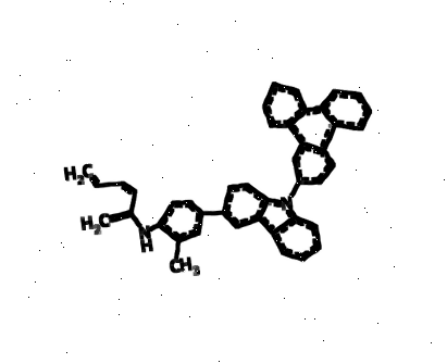 C=C/C=C\C(=C)Nc1ccc(-c2ccc3c(c2)c2ccccc2n3-c2ccc3c4ccccc4c4ccccc4c3c2)cc1C